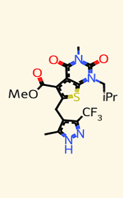 COC(=O)c1c(Cc2c(C(F)(F)F)n[nH]c2C)sc2c1c(=O)n(C)c(=O)n2CC(C)C